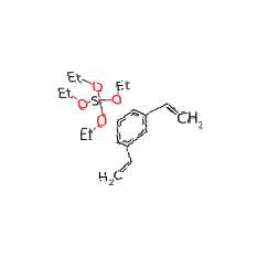 C=Cc1cccc(C=C)c1.CCO[Si](OCC)(OCC)OCC